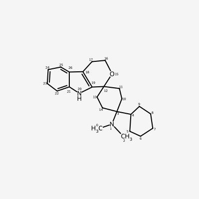 CN(C)C1(C2CCCCC2)CCC2(CC1)OCCc1c2[nH]c2ccccc12